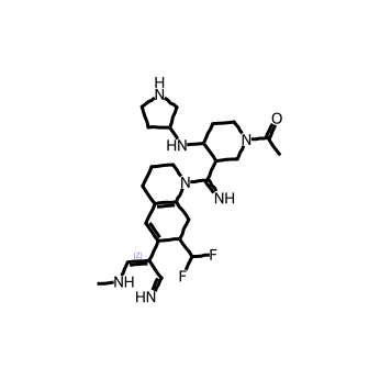 CN/C=C(\C=N)C1=CC2=C(CC1C(F)F)N(C(=N)C1CN(C(C)=O)CCC1NC1CCNC1)CCC2